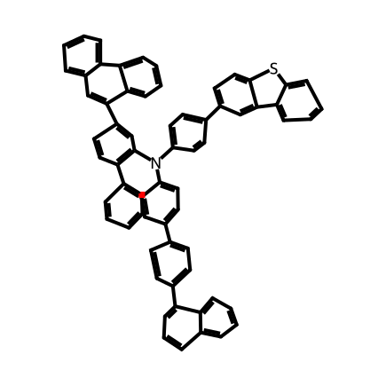 c1ccc(-c2ccc(-c3cc4ccccc4c4ccccc34)cc2N(c2ccc(-c3ccc(-c4cccc5ccccc45)cc3)cc2)c2ccc(-c3ccc4sc5ccccc5c4c3)cc2)cc1